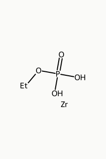 CCOP(=O)(O)O.[Zr]